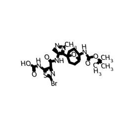 Cn1ncc(NC(=O)c2nc(Br)sc2NC(=O)O)c1C12CCC(NC(=O)OC(C)(C)C)C(CC1)O2